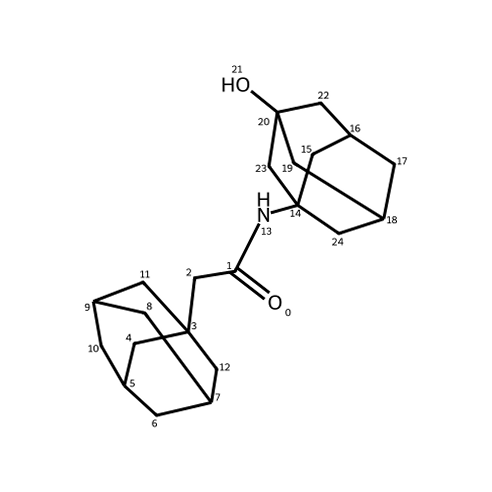 O=C(CC12CC3CC(CC(C3)C1)C2)NC12CC3CC(CC(O)(C3)C1)C2